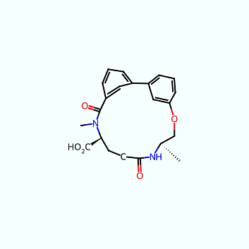 C[C@H]1COc2cccc(c2)-c2cccc(c2)C(=O)N(C)[C@H](C(=O)O)CCC(=O)N1